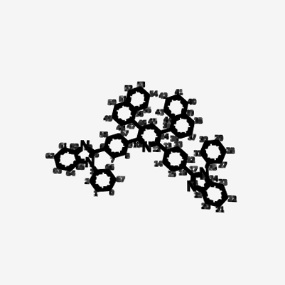 c1ccc(-n2c(-c3ccc(-c4nc(-c5ccc(-c6nc7ccccc7n6-c6ccccc6)cc5)c(-c5cccc6ccccc56)cc4-c4cccc5ccccc45)cc3)nc3ccccc32)cc1